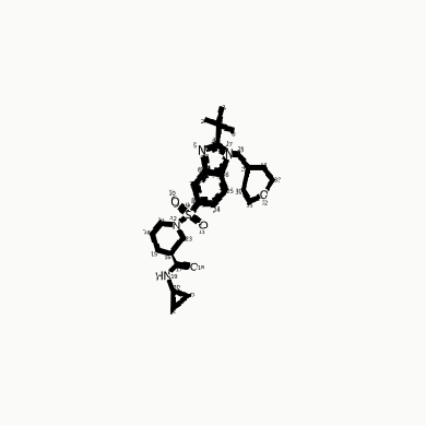 CC(C)(C)c1nc2cc(S(=O)(=O)N3CCC[C@H](C(=O)NC4CC4)C3)ccc2n1CC1CCOCC1